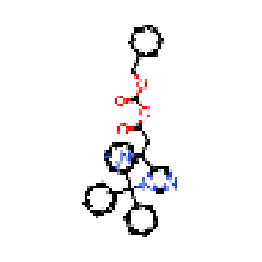 NC(CC(=O)OC(=O)OCc1ccccc1)c1cncn1C(c1ccccc1)(c1ccccc1)c1ccccc1